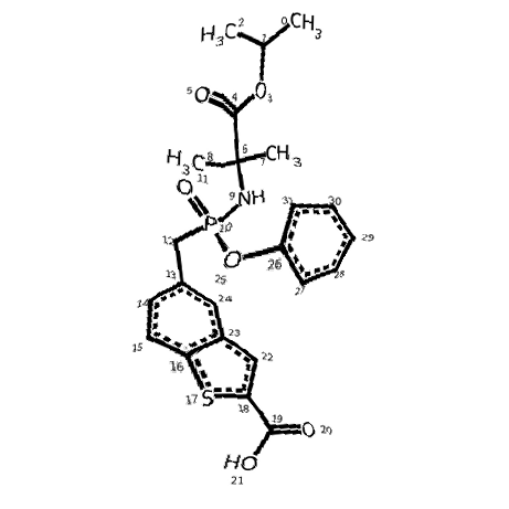 CC(C)OC(=O)C(C)(C)NP(=O)(Cc1ccc2sc(C(=O)O)cc2c1)Oc1ccccc1